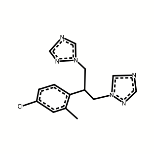 Cc1cc(Cl)ccc1C(Cn1cncn1)Cn1cncn1